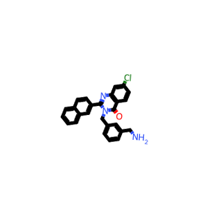 NCc1cccc(Cn2c(-c3ccc4ccccc4c3)nc3cc(Cl)ccc3c2=O)c1